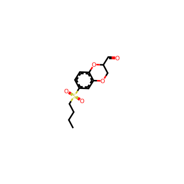 CCCCS(=O)(=O)c1ccc2c(c1)OCC(C=O)O2